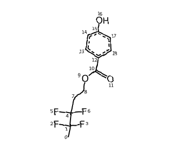 CC(F)(F)C(F)(F)CCOC(=O)c1ccc(O)cc1